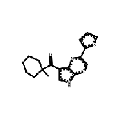 CC1(C(=O)c2c[nH]c3ncc(-c4cccs4)nc23)CCCCC1